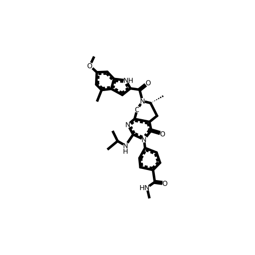 CNC(=O)c1ccc(-n2c(NC(C)C)nc3c(c2=O)C[C@@H](C)N(C(=O)c2cc4c(C)cc(OC)cc4[nH]2)C3)cc1